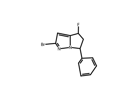 FC1CC(c2ccccc2)n2nc(Br)cc21